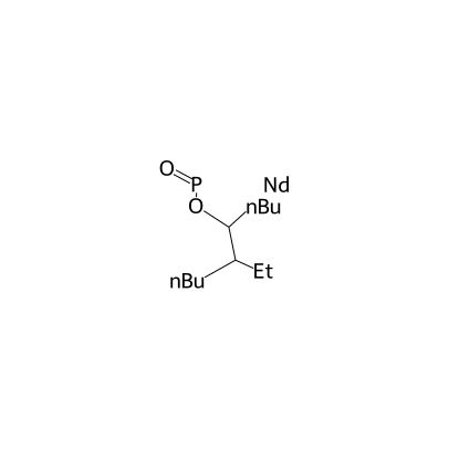 CCCCC(CC)C(CCCC)OP=O.[Nd]